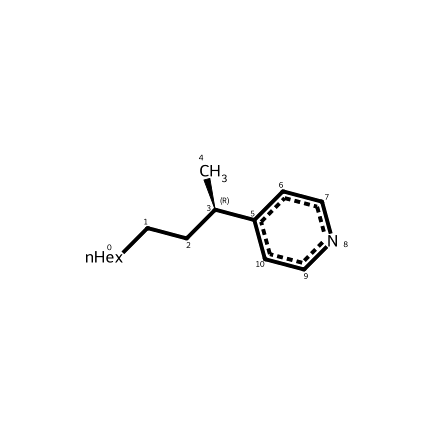 CCCCCCCC[C@@H](C)c1ccncc1